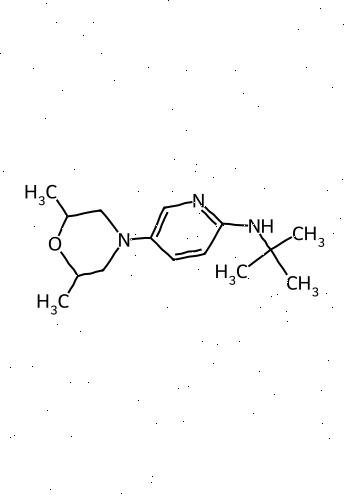 CC1CN(c2ccc(NC(C)(C)C)nc2)CC(C)O1